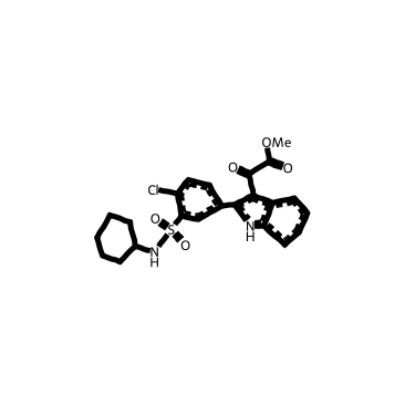 COC(=O)C(=O)c1c(-c2ccc(Cl)c(S(=O)(=O)NC3CCCCC3)c2)[nH]c2ccccc12